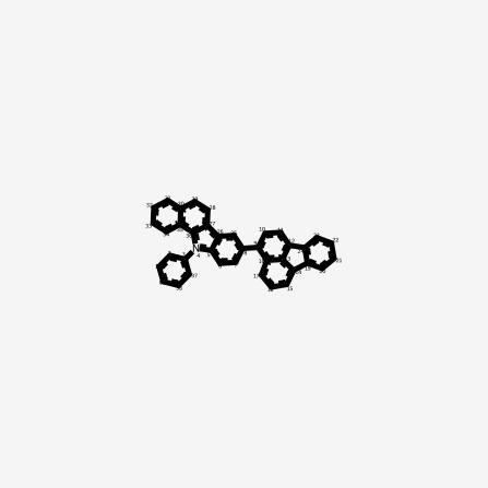 c1ccc(-n2c3ccc(-c4ccc5c6c(cccc46)-c4ccccc4-5)cc3c3ccc4ccccc4c32)cc1